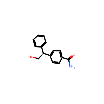 NC(=O)c1ccc([C@@H](CO)c2ccccc2)cc1